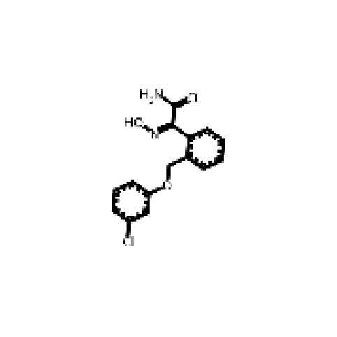 NC(=O)C(=NO)c1ccccc1COc1cccc(Cl)c1